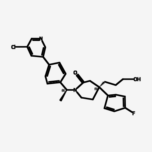 C[C@@H](c1ccc(-c2cncc(Cl)c2)cc1)N1CC[C@](CCCO)(c2ccc(F)cc2)CC1=O